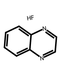 F.c1ccc2nccnc2c1